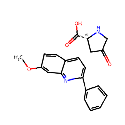 COc1ccc2ccc(-c3ccccc3)nc2c1.O=C1CN[C@@H](C(=O)O)C1